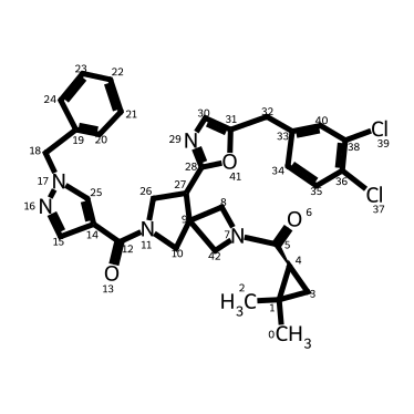 CC1(C)C[C@@H]1C(=O)N1CC2(CN(C(=O)c3cnn(Cc4ccccc4)c3)CC2c2ncc(Cc3ccc(Cl)c(Cl)c3)o2)C1